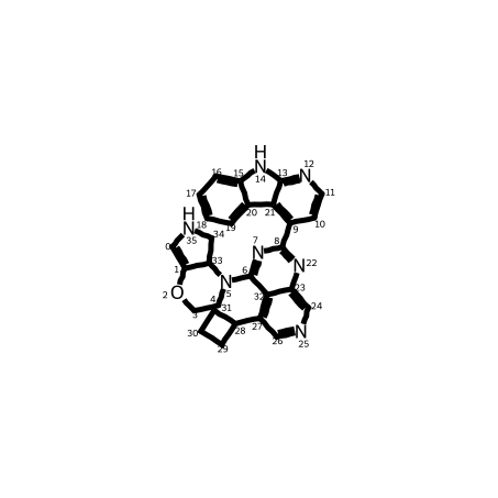 C1=C2OCCN(c3nc(-c4ccnc5[nH]c6ccccc6c45)nc4cncc(C5CCC5)c34)C2CN1